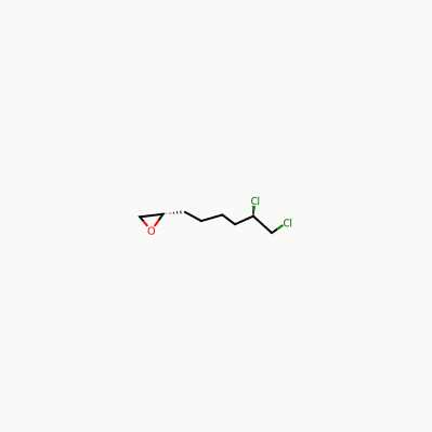 ClC[C@H](Cl)CCCC[C@H]1CO1